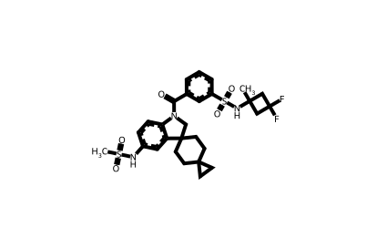 CC1(NS(=O)(=O)c2cccc(C(=O)N3CC4(CCC5(CC5)CC4)c4cc(NS(C)(=O)=O)ccc43)c2)CC(F)(F)C1